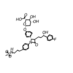 CS(=O)(=O)NCCCc1ccc(N2C(=O)C(CC[C@H](O)c3ccc(F)cc3)[C@H]2c2ccc(O[C@H]3C[C@@H](O)C(O)[C@@H](C(=O)O)O3)cc2)cc1